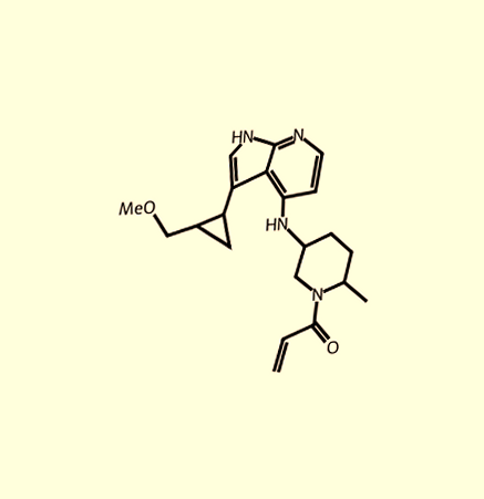 C=CC(=O)N1CC(Nc2ccnc3[nH]cc(C4CC4COC)c23)CCC1C